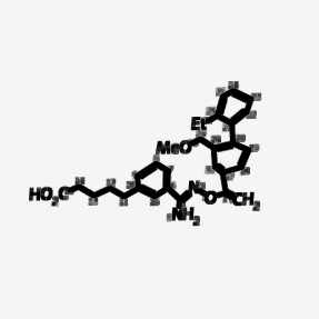 C=C(O/N=C(\N)c1cccc(CCCCC(=O)O)c1)c1ccc(-c2ccccc2CC)c(COC)c1